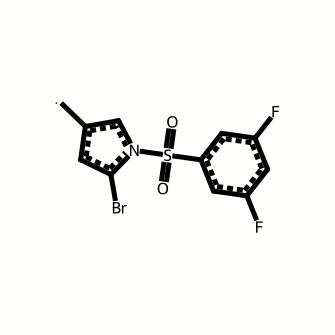 [CH2]c1cc(Br)n(S(=O)(=O)c2cc(F)cc(F)c2)c1